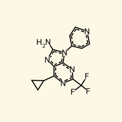 Nc1nc2c(C3CC3)nc(C(F)(F)F)nc2n1-c1ccncc1